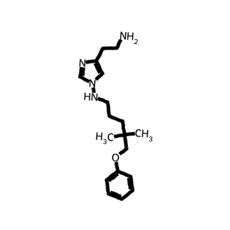 CC(C)(CCCNn1cnc(CCN)c1)COc1ccccc1